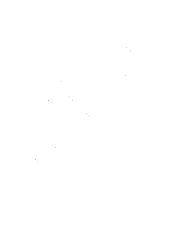 CC(C)c1nc2c(c(Nc3ccc(C(C)(C)CN(C)C)cc3)n1)CCN(c1ncccc1C(F)(F)F)CC2